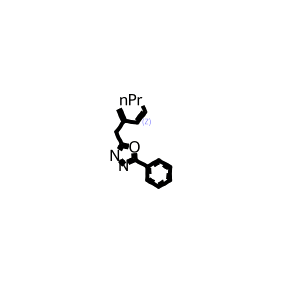 C=C(/C=C\CCC)Cc1nnc(-c2ccccc2)o1